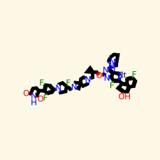 CCc1c(F)ccc2cc(O)cc(-c3ncc4c(N5CC6CCC(C5)N6)nc(OCC5(CN6CCC7(CC6)CN(CC6(F)CCN(c8cc(F)c(C9CCC(=O)NC9=O)c(F)c8)CC6)C7)CC5)nc4c3F)c12